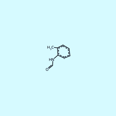 Cc1ccc[c]c1NC=O